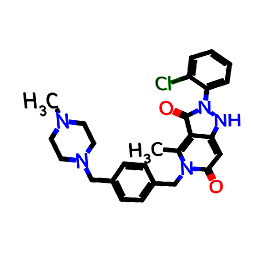 Cc1c2c(=O)n(-c3ccccc3Cl)[nH]c2cc(=O)n1Cc1ccc(CN2CCN(C)CC2)cc1